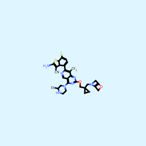 CCC1CN(c2nc(OCC3(CN4CC5=C4CO5)CC3)nc3c(C(F)(F)F)c(C4=CC=C(F)C5SC(N)=C(C#N)C45)ncc23)CCN1